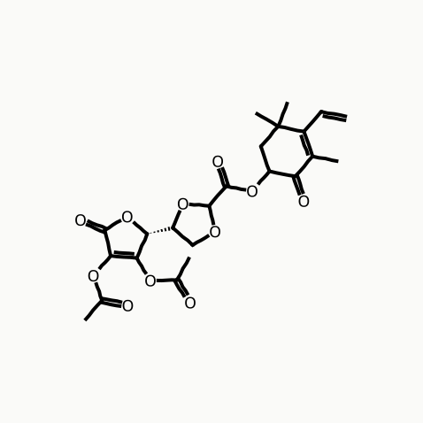 C=CC1=C(C)C(=O)C(OC(=O)C2OCC([C@H]3OC(=O)C(OC(C)=O)=C3OC(C)=O)O2)CC1(C)C